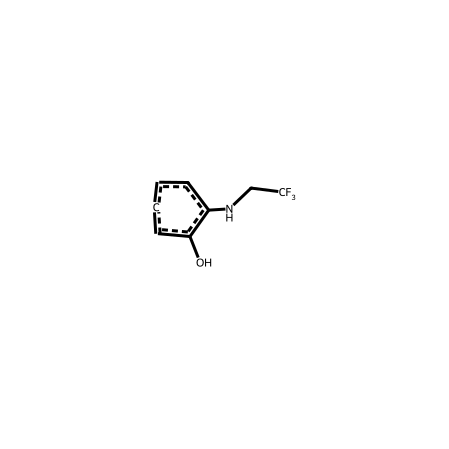 Oc1ccccc1NCC(F)(F)F